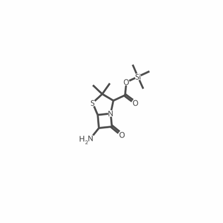 CC1(C)SC2C(N)C(=O)N2C1C(=O)O[Si](C)(C)C